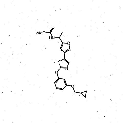 COC(=O)NC(C)c1cc(-c2cnc(Oc3cccc(OCC4CC4)c3)s2)no1